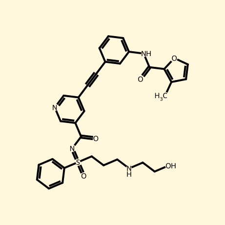 Cc1ccoc1C(=O)Nc1cccc(C#Cc2cncc(C(=O)N=S(=O)(CCCNCCO)c3ccccc3)c2)c1